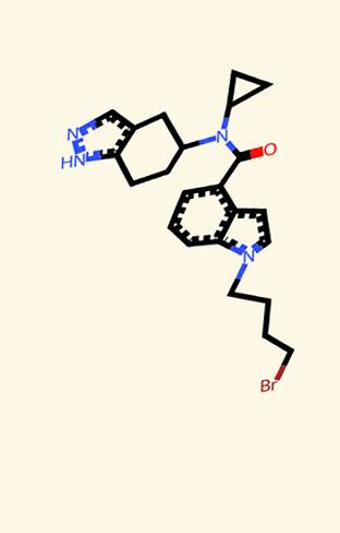 O=C(c1cccc2c1ccn2CCCCBr)N(C1CC1)C1CCc2[nH]ncc2C1